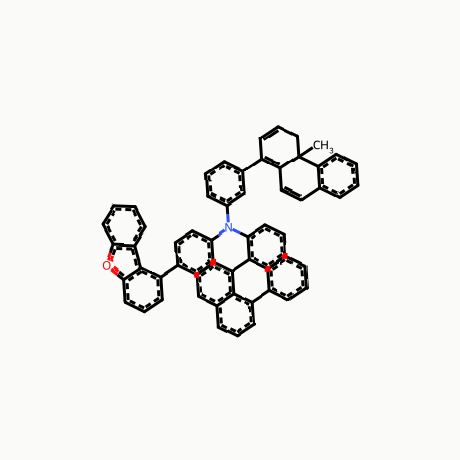 CC12CC=CC(c3cccc(N(c4ccc(-c5cccc6oc7ccccc7c56)cc4)c4ccccc4-c4cccc5cccc(-c6ccccc6)c45)c3)=C1C=Cc1ccccc12